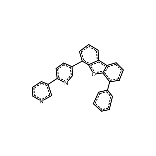 c1ccc(-c2cccc3c2oc2c(-c4ccc(-c5cccnc5)nc4)cccc23)cc1